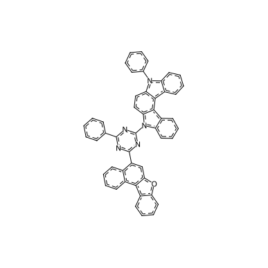 c1ccc(-c2nc(-c3cc4oc5ccccc5c4c4ccccc34)nc(-n3c4ccccc4c4c5c6ccccc6n(-c6ccccc6)c5ccc43)n2)cc1